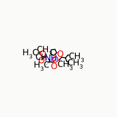 CCC(CC)[C@@H](OC1CCCC1)[C@H](C)OC(=O)[C@H](C)NC(=O)OC(C)(C)C